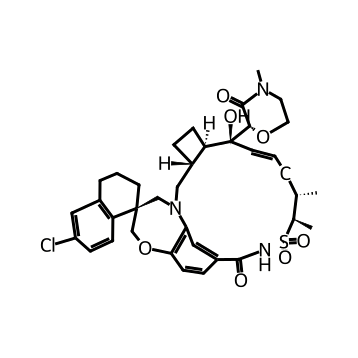 C[C@@H]1[C@@H](C)C/C=C/[C@@](O)([C@H]2OCCN(C)C2=O)[C@@H]2CC[C@H]2CN2C[C@@]3(CCCc4cc(Cl)ccc43)COc3ccc(cc32)C(=O)NS1(=O)=O